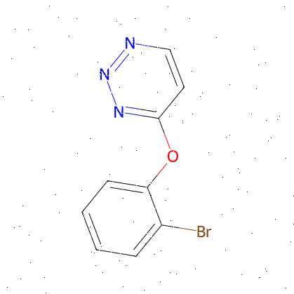 Brc1ccccc1Oc1ccnnn1